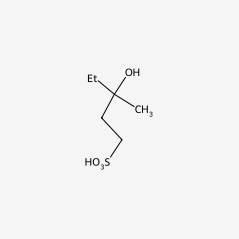 [CH2]CC(C)(O)CCS(=O)(=O)O